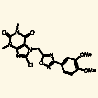 COc1ccc(-c2noc(Cn3c(Cl)nc4c3c(=O)n(C)c(=O)n4C)n2)cc1OC